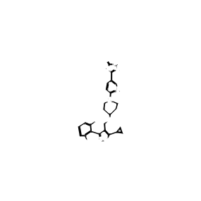 O=c1[nH]c(-c2ccc(N3CCC(OCc4c(-c5c(F)cccc5F)noc4C4CC4)CC3)nc2)no1